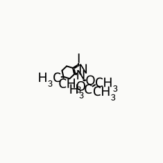 CC1(C)CCc2c(I)nn(C(=O)OC(C)(C)C)c2C1